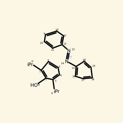 CC(C)c1cccc(C(C)C)c1O.c1ccc(/N=N/c2ccccc2)cc1